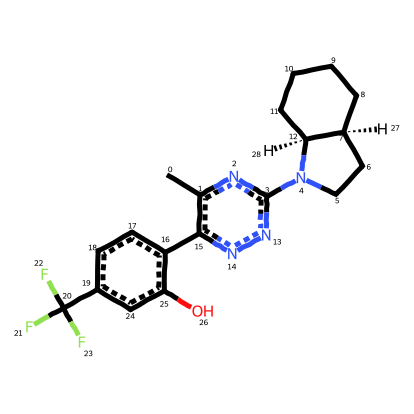 Cc1nc(N2CC[C@@H]3CCCC[C@@H]32)nnc1-c1ccc(C(F)(F)F)cc1O